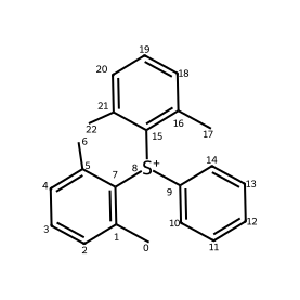 Cc1cccc(C)c1[S+](c1ccccc1)c1c(C)cccc1C